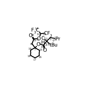 CC(C)CC(C)(C(=O)OC1(CC(=O)OC(C(F)(F)F)C(F)(F)F)CCCCC1)C(C)(C)C